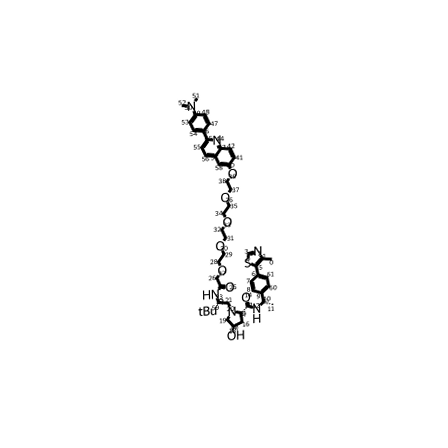 Cc1ncsc1-c1ccc([C@H](C)NC(=O)[C@@H]2C[C@@H](O)CN2C[C@@H](NC(=O)COCCOCCOCCOCCOc2ccc3nc(-c4ccc(N(C)C)cc4)ccc3c2)C(C)(C)C)cc1